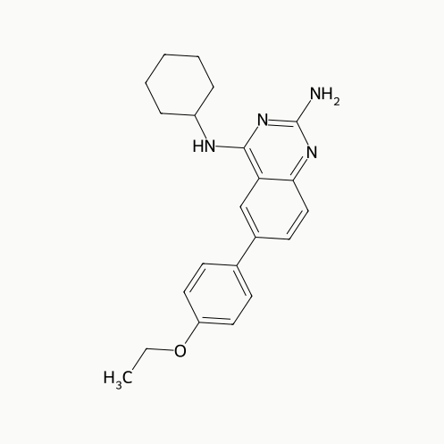 CCOc1ccc(-c2ccc3nc(N)nc(NC4CCCCC4)c3c2)cc1